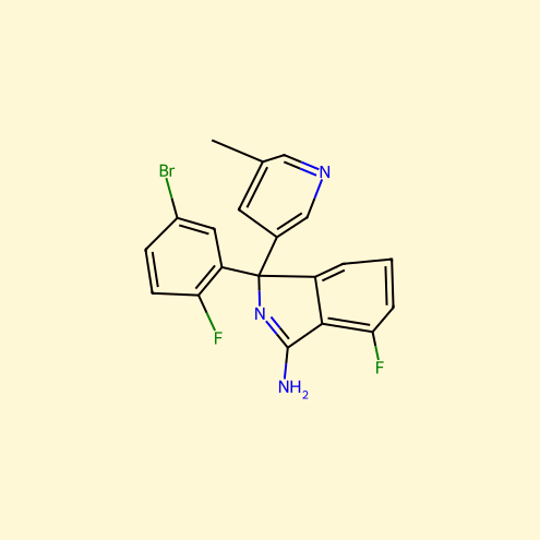 Cc1cncc(C2(c3cc(Br)ccc3F)N=C(N)c3c(F)cccc32)c1